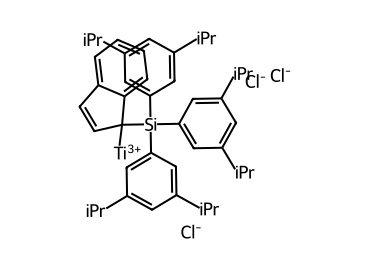 CC(C)c1cc(C(C)C)cc([Si](c2cc(C(C)C)cc(C(C)C)c2)(c2cc(C(C)C)cc(C(C)C)c2)[C]2([Ti+3])C=Cc3ccccc32)c1.[Cl-].[Cl-].[Cl-]